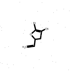 C=CC1CC(C#N)=C(CC)O1